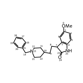 COc1ccc2c(c1)C(CCC1CCN(Cc3ccccc3)CC1)C(=O)N2